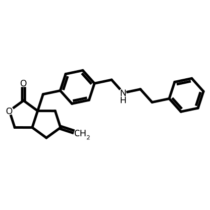 C=C1CC2COC(=O)C2(Cc2ccc(CNCCc3ccccc3)cc2)C1